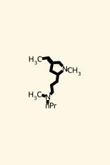 C/C=C1\CC(CCCN(C)CCC)N(C)C1